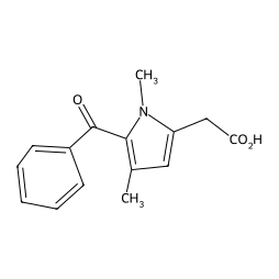 Cc1cc(CC(=O)O)n(C)c1C(=O)c1ccccc1